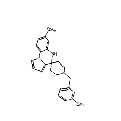 COc1cccc(CN2CCC3(CC2)Nc2cc(OC)ccc2-n2cccc23)c1